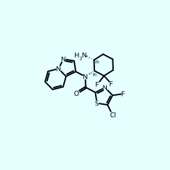 N[C@@H]1CCCC(F)(F)[C@@H]1N(C(=O)c1nc(F)c(Cl)s1)c1cnn2ccccc12